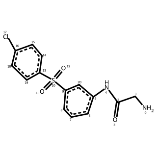 NCC(=O)Nc1cccc(S(=O)(=O)c2ccc(Cl)cc2)c1